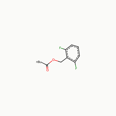 CCCCC(=O)OCc1c(F)cccc1F